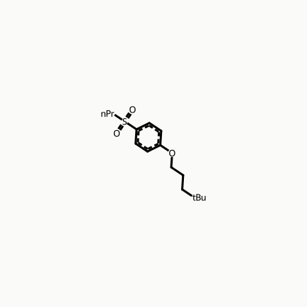 CCCS(=O)(=O)c1ccc(OCCCC(C)(C)C)cc1